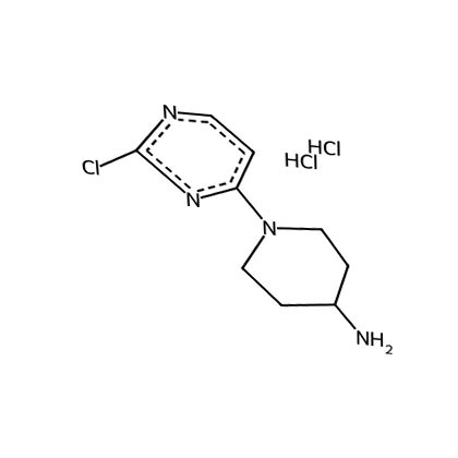 Cl.Cl.NC1CCN(c2ccnc(Cl)n2)CC1